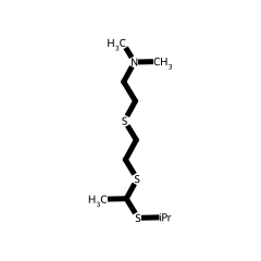 CC(C)SC(C)SCCSCCN(C)C